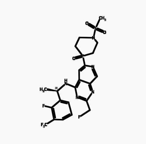 C[C@@H](Nc1nc(CF)nc2cnc(P3(=O)CCN(S(C)(=O)=O)CC3)cc12)c1cccc(C(F)(F)F)c1F